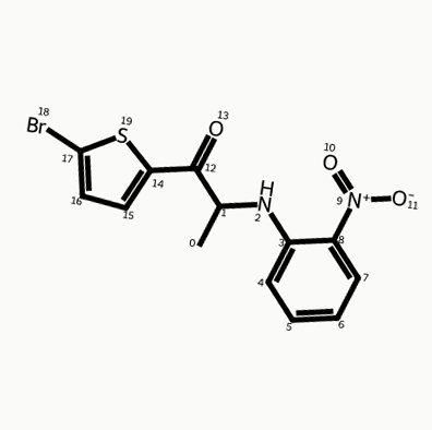 CC(Nc1ccccc1[N+](=O)[O-])C(=O)c1ccc(Br)s1